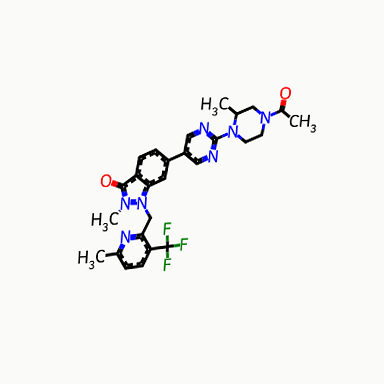 CC(=O)N1CCN(c2ncc(-c3ccc4c(=O)n(C)n(Cc5nc(C)ccc5C(F)(F)F)c4c3)cn2)C(C)C1